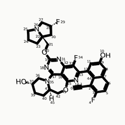 C#Cc1c(F)ccc2cc(O)cc(-c3nc4c5c(nc(OC[C@@]67CCCN6C[C@H](F)C7)nc5c3F)N3C[C@@H](O)CC[C@@H]3CO4)c12